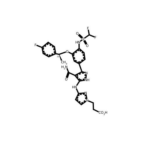 C[C@H](Oc1cc(-c2n[nH]c(Nc3ccn(CCC(=O)O)n3)c2C(N)=O)ccc1NS(=O)(=O)C(F)F)c1ccc(F)cc1